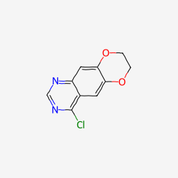 Clc1ncnc2cc3c(cc12)OCCO3